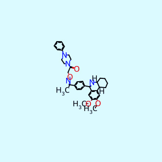 COc1cc2c(cc1OC)[C@H]1CCCC[C@H]1N=C2c1ccc(/C(C)=N\OCC(=O)N2CCN(c3ccccc3)CC2)cc1